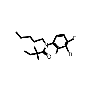 CCCCCN(C(=O)C(C)(C)CC)c1ccc(F)[c]([Ti])c1F